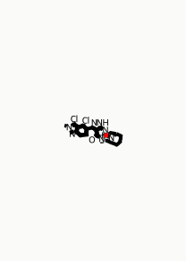 Cn1nc2ccc(-c3n[nH]c4nc(N5C6CCCC5CNC6)n(C)c(=O)c34)c(Cl)c2c1Cl